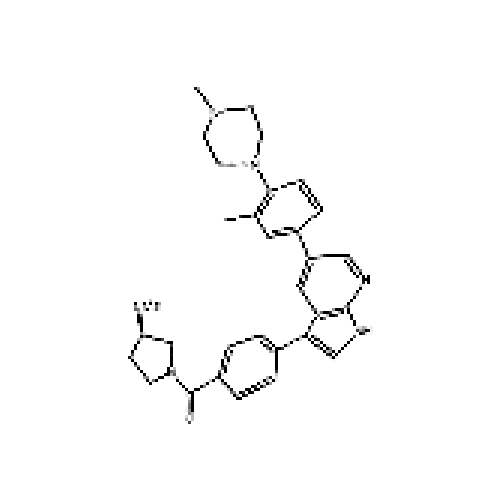 CN[C@@H]1CCN(C(=O)c2ccc(-c3c[nH]c4ncc(-c5ccc(N6CCN(C)CC6)c(C)c5)cc34)cc2)C1